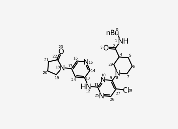 CCCCNC(=O)C1CCCN(c2nc(Nc3cncc(N4CCCC4=O)c3)ncc2Cl)C1